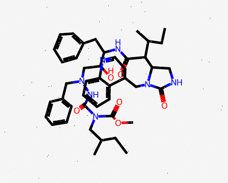 CCC(C)CN(C(=O)NN(Cc1ccccc1)CC(O)C(Cc1ccccc1)NC(=O)C(C(C)CC)C1CNC(=O)N1Cc1ccnc2ccccc12)C(=O)OC